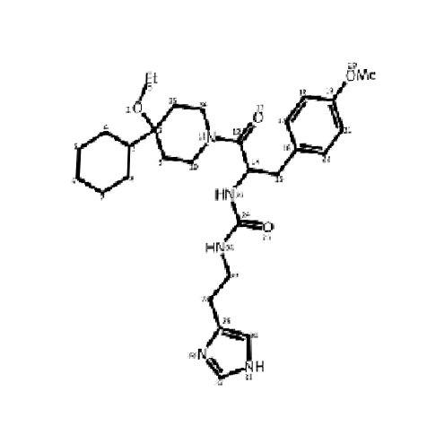 CCOC1(C2CCCCC2)CCN(C(=O)C(Cc2ccc(OC)cc2)NC(=O)NCCc2c[nH]cn2)CC1